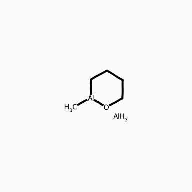 [AlH3].[CH3][Al]1[CH2]CCC[O]1